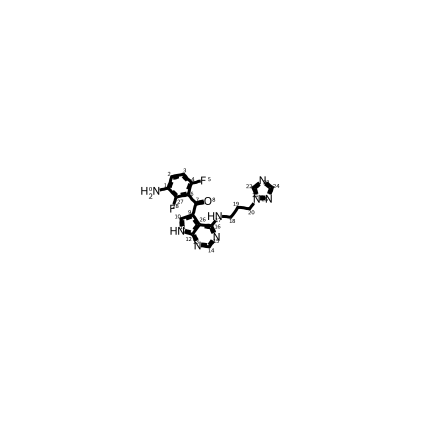 Nc1ccc(F)c(C(=O)c2c[nH]c3ncnc(NCCCn4cncn4)c23)c1F